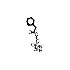 [NH]P(=O)(O)OCOC(=O)Cc1ccccc1